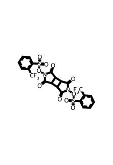 O=C1C2C(C(=O)N1OS(=O)(=O)c1ccccc1C(F)(F)F)C1C(=O)N(OS(=O)(=O)c3ccccc3C(F)(F)F)C(=O)C21